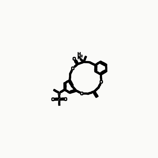 C=C1COc2cccc(c2)CC(C)(N)C(=O)OCc2cc(cc(N(C)S(C)(=O)=O)c2)OC1